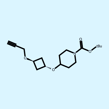 C#CCO[C@H]1C[C@H](OC2CCN(C(=O)OC(C)(C)C)CC2)C1